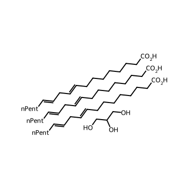 CCCCCC=CCC=CCCCCCCCC(=O)O.CCCCCC=CCC=CCCCCCCCC(=O)O.CCCCCC=CCC=CCCCCCCCC(=O)O.OCC(O)CO